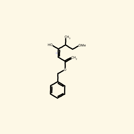 C=C(/C=C(/O)C(C)COC)OCc1ccccc1